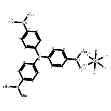 CCCCN(CCCC)c1ccc([NH+](c2ccc(N(CCCC)CCCC)cc2)c2ccc(N(CCCC)CCCC)cc2)cc1.[F][Sb-]([F])([F])([F])([F])[F]